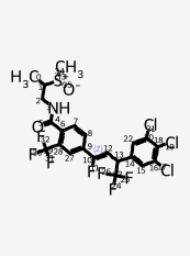 CC(CNC(=O)c1ccc(/C(F)=C/C(c2cc(Cl)c(Cl)c(Cl)c2)C(F)(F)F)cc1C(F)(F)F)[S+](C)[O-]